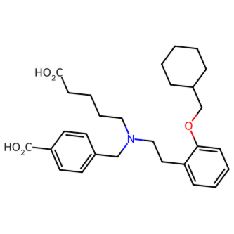 O=C(O)CCCCN(CCc1ccccc1OCC1CCCCC1)Cc1ccc(C(=O)O)cc1